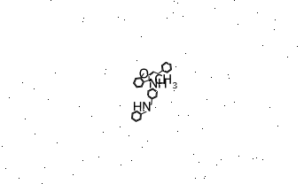 CC(/C=C1/Oc2ccccc2C1Nc1ccc(CNCc2ccccc2)cc1)c1ccccc1